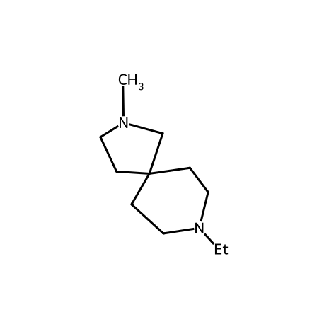 CCN1CCC2(CCN(C)C2)CC1